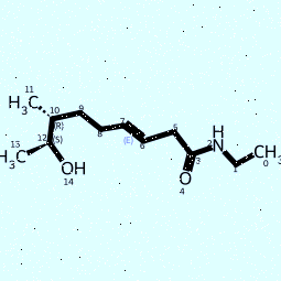 CCNC(=O)C/C=C/CC[C@@H](C)[C@H](C)O